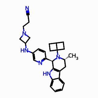 C[C@@H]1Cc2c([nH]c3ccccc23)[C@@H](c2ccc(NC3CN(CCC#N)C3)cn2)N1C12CCC1CC2